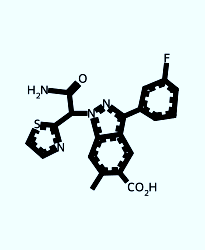 Cc1cc2c(cc1C(=O)O)c(-c1cccc(F)c1)nn2C(C(N)=O)c1nccs1